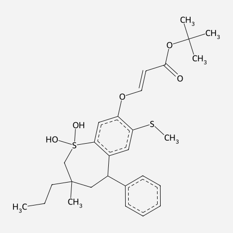 CCCC1(C)CC(c2ccccc2)c2cc(SC)c(O/C=C/C(=O)OC(C)(C)C)cc2S(O)(O)C1